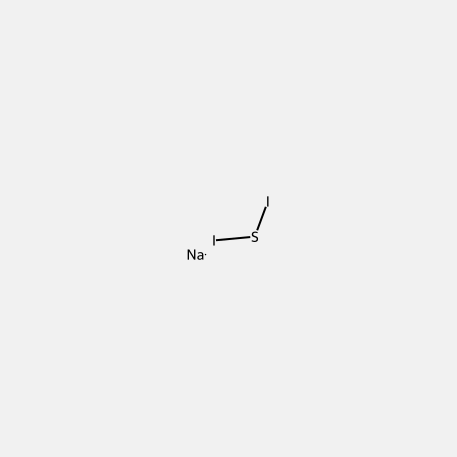 ISI.[Na]